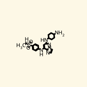 CNS(=O)(=O)c1ccc(Nc2cc(NC3CCC(N)CC3)nn3ccnc23)cc1